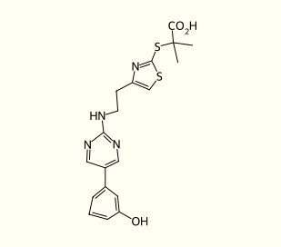 CC(C)(Sc1nc(CCNc2ncc(-c3cccc(O)c3)cn2)cs1)C(=O)O